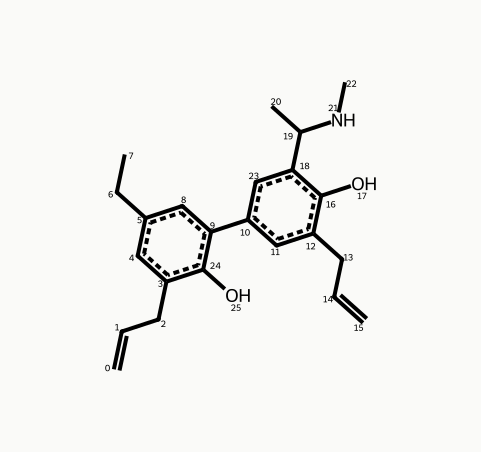 C=CCc1cc(CC)cc(-c2cc(CC=C)c(O)c(C(C)NC)c2)c1O